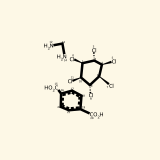 Cl[C@H]1[C@H](Cl)[C@@H](Cl)[C@@H](Cl)[C@H](Cl)[C@H]1Cl.NCN.O=C(O)c1ccc(C(=O)O)cc1